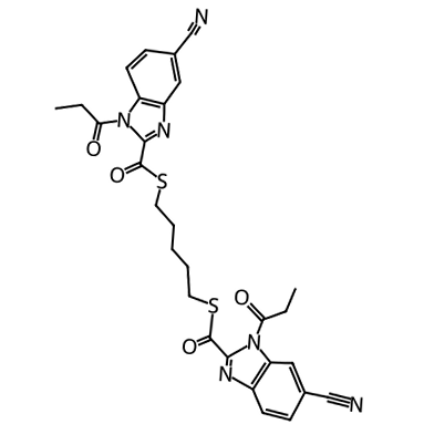 CCC(=O)n1c(C(=O)SCCCCCSC(=O)c2nc3ccc(C#N)cc3n2C(=O)CC)nc2cc(C#N)ccc21